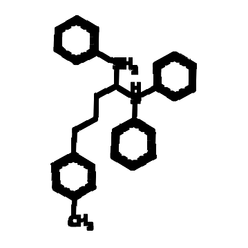 Cc1ccc(CCCC([SiH2]c2ccccc2)[SiH](c2ccccc2)c2ccccc2)cc1